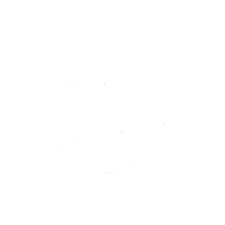 CCC(C)COC(=O)Oc1ccc(C[C@](N)(CCOC(=O)CC(C)C)C(=O)OC)cc1OC(=O)OCC(C)CC